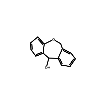 OC1c2ccccc2COc2ccccc21